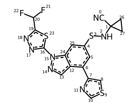 N#CC1(NSc2cc(-c3cscn3)c3cnn(-c4nnc(C(F)F)s4)c3c2)CC1